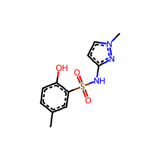 Cc1ccc(O)c(S(=O)(=O)Nc2ccn(C)n2)c1